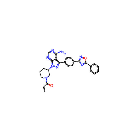 C=CC(=O)N1CCC[C@@H](n2nc(-c3ccc(-c4noc(-c5ccccc5)n4)cc3)c3c(N)ncnc32)C1